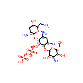 NC[C@H]1O[C@H](O[C@H]2[C@H](O)[C@@H](O[C@H]3O[C@H](CO)[C@@H](O)[C@H](N)[C@H]3O)[C@H](N)C[C@@H]2N)[C@H](N)C[C@@H]1O.O=S(=O)(O)O.O=S(=O)(O)O